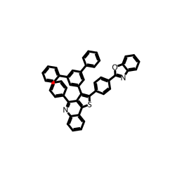 c1ccc(-c2cc(-c3ccccc3)cc(-c3c(-c4ccc(-c5nc6ccccc6o5)cc4)sc4c3c(-c3ccccc3)nc3ccccc34)c2)cc1